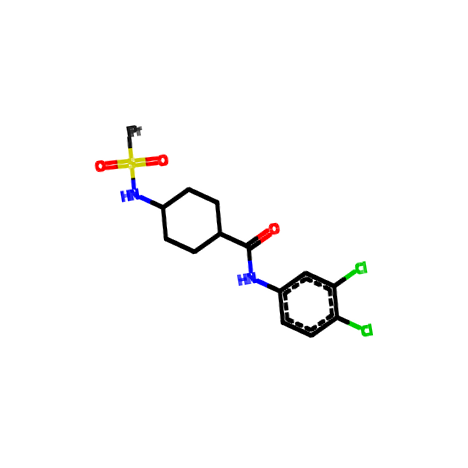 CC(C)S(=O)(=O)NC1CCC(C(=O)Nc2ccc(Cl)c(Cl)c2)CC1